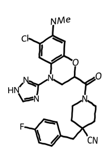 CNc1cc2c(cc1Cl)N(c1nc[nH]n1)CC(C(=O)N1CCC(C#N)(Cc3ccc(F)cc3)CC1)O2